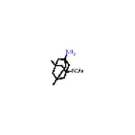 CNC12CC3(C)CC(C)(CC(N)(C3)C1)C2